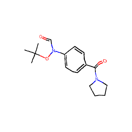 CC(C)(C)ON(C=O)c1ccc(C(=O)N2CCCC2)cc1